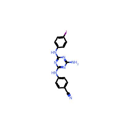 N#Cc1ccc(Nc2nc(N)nc(Nc3ccc(I)cc3)n2)cc1